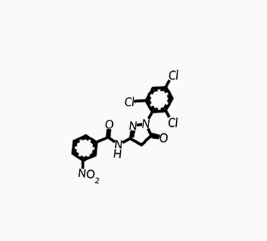 O=C(NC1=NN(c2c(Cl)cc(Cl)cc2Cl)C(=O)C1)c1cccc([N+](=O)[O-])c1